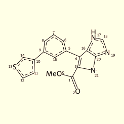 COC(=O)C1=C(c2cccc(-c3ccsc3)c2)c2[nH]cnc2[N]1